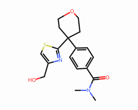 CN(C)C(=O)c1ccc(C2(c3nc(CO)cs3)CCOCC2)cc1